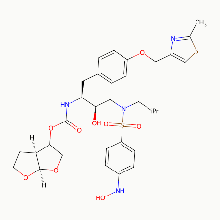 Cc1nc(COc2ccc(C[C@H](NC(=O)OC3CO[C@H]4OCC[C@@H]34)[C@H](O)CN(CC(C)C)S(=O)(=O)c3ccc(NO)cc3)cc2)cs1